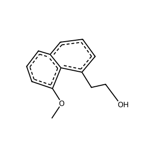 COc1cccc2cccc(CCO)c12